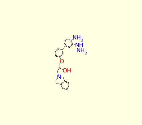 NNc1cc(-c2cccc(OCC(O)CN3CCc4ccccc4C3)c2)ccc1N